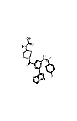 C[C@@H](Nc1cc(C(=O)N2CCC(NC(=O)O)CC2)nc(-c2cnn3ccsc23)n1)c1ccc(F)cc1